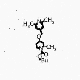 Cc1cc(CO[C@H]2CCN(C(=O)OC(C)(C)C)[C@@H](C)C2)cc(C)n1